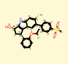 CC(F)Oc1ccccc1[C@H]1C[C@@H](O)C2=C1C1C=C(c3ccc(S(C)(=O)=O)cc3)C(F)=CC1=N2